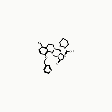 O=C(O)[C@H]1CCCC[C@H]1C(=O)N1CCc2c(Cl)ccc(OCc3cccnc3)c2[C@H]1CN1CCCC1=O